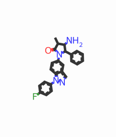 CC1C(=O)N(c2ccc3c(cnn3-c3ccc(F)cc3)c2)C(c2ccccc2)C1N